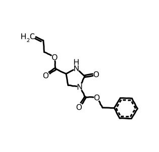 C=CCOC(=O)C1CN(C(=O)OCc2ccccc2)C(=O)N1